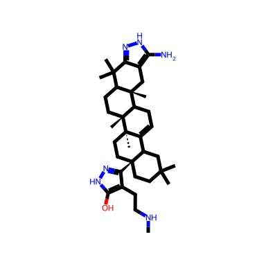 CNCCc1c([C@]23CCC(C)(C)CC2C2=CCC4[C@@]5(C)Cc6c(n[nH]c6N)C(C)(C)C5CC[C@@]4(C)[C@]2(C)CC3)n[nH]c1O